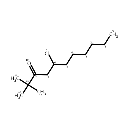 CCCCCCC(Cl)CC(=O)C(C)(C)C